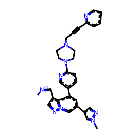 C/N=C\c1cnn2cc(-c3cnn(C)c3)cc(-c3ccc(N4CCN(CC#Cc5ccccn5)CC4)nc3)c12